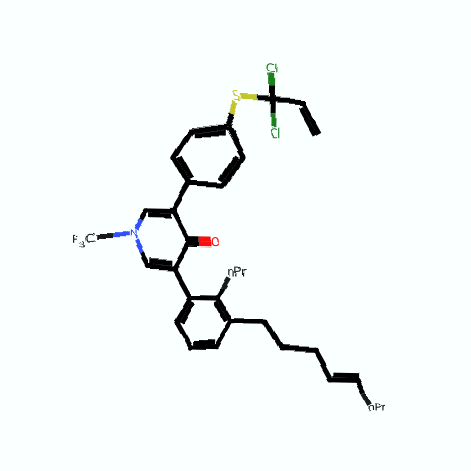 C=CC(Cl)(Cl)Sc1ccc(-c2cn(C(F)(F)F)cc(-c3cccc(CCCC=CCCC)c3CCC)c2=O)cc1